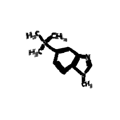 Cn1cnc2cc(S(C)(C)C)ccc21